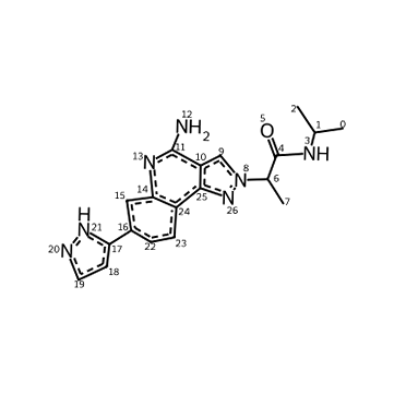 CC(C)NC(=O)C(C)n1cc2c(N)nc3cc(-c4ccn[nH]4)ccc3c2n1